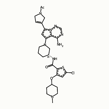 CC(=O)N1CC=C(c2cc(N3CCC[C@@H](NC(=O)c4sc(Cl)cc4OC4CCN(C)CC4)C3)c3c(N)ncnn23)C1